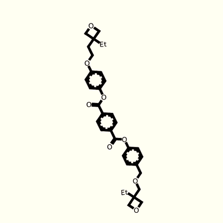 CCC1(CCOc2ccc(OC(=O)c3ccc(C(=O)Oc4ccc(COCC5(CC)COC5)cc4)cc3)cc2)COC1